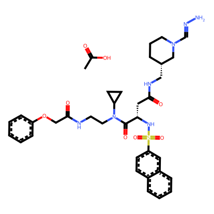 CC(=O)O.NN=CN1CCC[C@@H](CNC(=O)C[C@H](NS(=O)(=O)c2ccc3ccccc3c2)C(=O)N(CCNC(=O)COc2ccccc2)C2CC2)C1